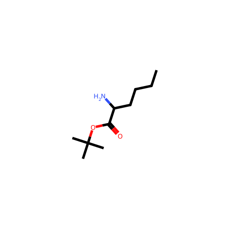 CCCCC(N)C(=O)OC(C)(C)C